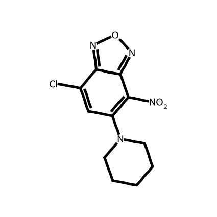 O=[N+]([O-])c1c(N2CCCCC2)cc(Cl)c2nonc12